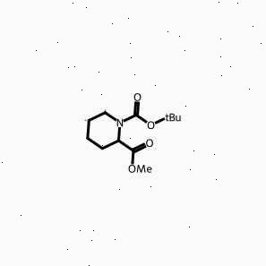 COC(=O)C1CC[CH][CH]N1C(=O)OC(C)(C)C